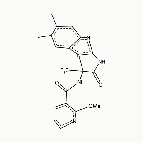 COc1ncccc1C(=O)NC1(C(F)(F)F)C(=O)Nc2nc3cc(C)c(C)cc3n21